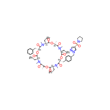 CC(C)C[C@H]1C(=O)O[C@H](Cc2ccc(Cn3cc(S(=O)(=O)N4CCCC4)cn3)cc2)C(=O)N(C)[C@@H](CC(C)C)C(=O)O[C@H](C)C(=O)N(C)[C@@H](CC(C)C)C(=O)O[C@H](Cc2ccccc2)C(=O)N(C)[C@@H](CC(C)C)C(=O)O[C@H](C)C(=O)N1C